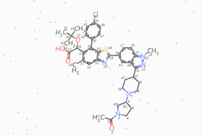 CC(=O)N1CC[C@H](N2CCC(c3nn(C)c4ccc(-c5nc6cc(C)c(C(OC(C)(C)C)C(=O)O)c(-c7ccc(Cl)cc7)c6s5)cc34)CC2)C1